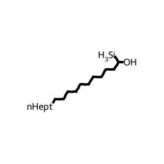 CCCCCCCCCCCCCCCCCC(O)[SiH3]